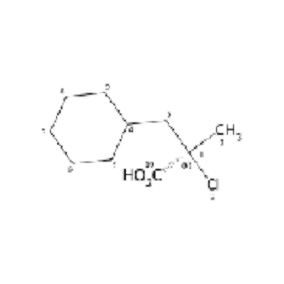 C[C@@](Cl)(CC1CCCCC1)C(=O)O